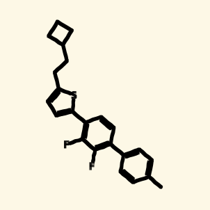 Cc1ccc(-c2ccc(-c3ccc(CCC4CCC4)s3)c(F)c2F)cc1